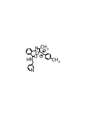 Cc1ccc(S(=O)(=O)c2oc(-c3ccccc3C(=O)NCc3cccnc3)nc2C)cc1